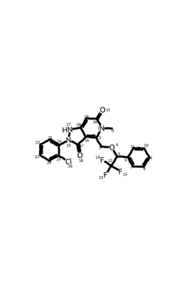 Cn1c(COC(c2ccccc2)C(F)(F)F)c2c(=O)n(-c3ccccc3Cl)[nH]c2cc1=O